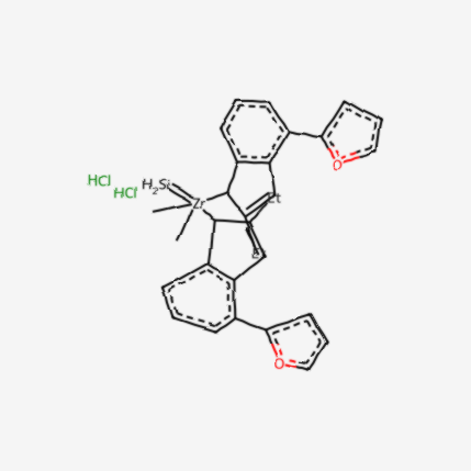 CCC1=Cc2c(-c3ccco3)cccc2[CH]1[Zr]([CH3])([CH3])(=[SiH2])[CH]1C(CC)=Cc2c(-c3ccco3)cccc21.Cl.Cl